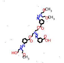 COCCN(CCOC)/N=N\c1cccc(C(=O)OCCN(CCOC(=O)c2cccc(/N=N/N(CCO)CCOC)c2)/N=N/c2cccc(C(=O)O)c2)c1